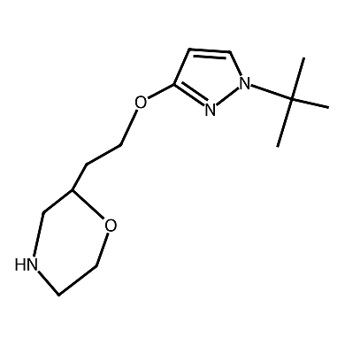 CC(C)(C)n1ccc(OCCC2CNCCO2)n1